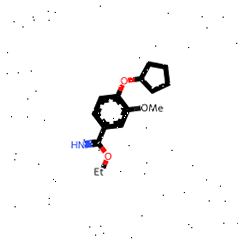 CCOC(=N)c1ccc(OC2CCCC2)c(OC)c1